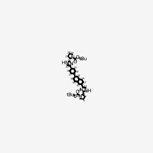 CC(C)(C)OC(=O)N1CCCC1c1nc(-c2ccc3cc(-c4ccc(-c5c[nH]c([C@@H]6CCCN6C(=O)OC(C)(C)C)n5)cc4)ccc3c2)c[nH]1